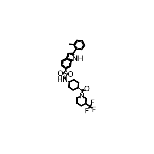 Cc1ccccc1-c1cc2ccc(S(=O)(=O)N[C@H]3CC[C@H](C(=O)N4CCCC(C(F)(F)F)C4)CC3)cc2[nH]1